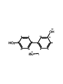 CCC(C)C.Oc1ccc(-c2cccc(O)c2)cc1